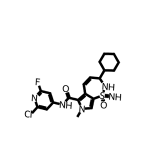 Cn1cc2c(c1C(=O)Nc1cc(F)nc(Cl)c1)C=CC(C1CCCCC1)NS2(=N)=O